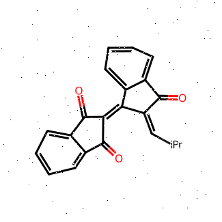 CC(C)/C=C1\C(=O)c2ccccc2C1=C1C(=O)c2ccccc2C1=O